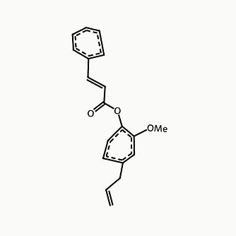 C=CCc1ccc(OC(=O)/C=C/c2ccccc2)c(OC)c1